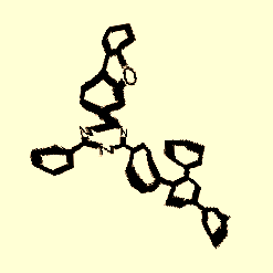 C1=CCC(c2nc(-c3ccc(-c4ccc(-c5ccccc5)cc4-c4ccccc4)cc3)nc(-c3ccc4c(c3)oc3ccccc34)n2)C=C1